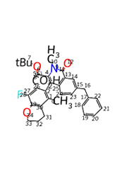 Cc1c(-c2c([C@H](OC(C)(C)C)C(=O)O)n(C)c(=O)c3cc(Cc4ccccc4)ccc23)cc(F)c2c1CCCO2